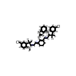 CN1/C(=C/C=C2\CCCC(/C=C/C3=[N+](C)c4ccc(Cl)cc4C3(C)C)=C2Sc2nc3ccccc3s2)C(C)(C)c2cc(Cl)ccc21